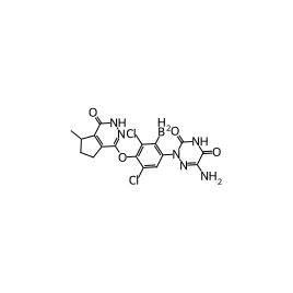 Bc1c(-n2nc(N)c(=O)[nH]c2=O)cc(Cl)c(Oc2n[nH]c(=O)c3c2CCC3C)c1Cl